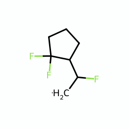 [CH2]C(F)C1CCCC1(F)F